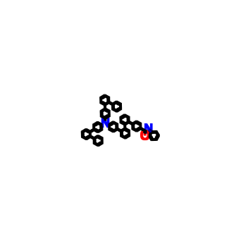 c1ccc(-c2ccccc2-c2ccc(N(c3ccc(-c4ccccc4-c4ccccc4)cc3)c3ccc(-c4ccccc4-c4ccccc4-c4ccc(-c5nc6ccccc6o5)cc4)cc3)cc2)cc1